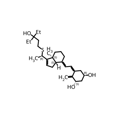 C=C1C(=CC=C2CCC[C@]3(C)C([C@@H](C)SCCC(O)(CC)CC)=CC[C@@H]23)C[C@@H](O)C[C@@H]1O